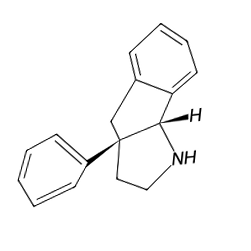 c1ccc([C@]23CCN[C@H]2c2ccccc2C3)cc1